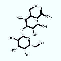 CC(=O)N[C@H](CO)[C@@H](O)[C@H](O[C@@H]1O[C@H](CO)[C@H](O)[C@H](O)[C@H]1O)[C@H](O)CO